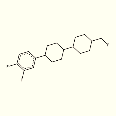 FCC1CCC(C2CCC(c3ccc(F)c(F)c3)CC2)CC1